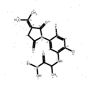 CCN(O)C(=O)C(C)Nc1cc(N2C(=O)CC(=C(C)C)C2=O)c(F)cc1Cl